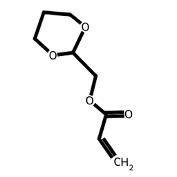 C=CC(=O)OCC1OCCCO1